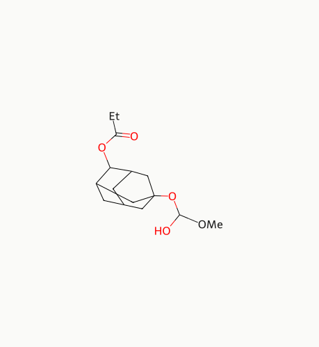 CCC(=O)OC1C2CC3CC1CC(OC(O)OC)(C3)C2